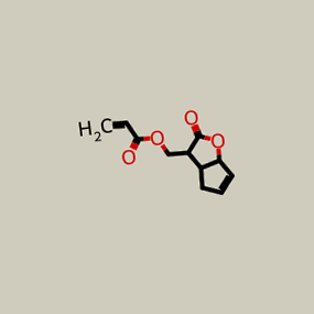 C=CC(=O)OCC1C(=O)OC2C=CCC21